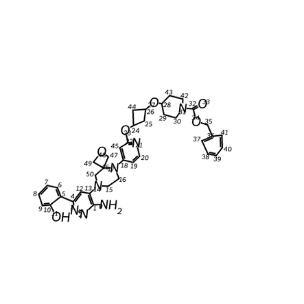 Nc1nnc(-c2ccccc2O)cc1N1CCN(c2ccnc(OC3CC(OC4CCN(C(=O)OCc5ccccc5)CC4)C3)c2)C2(COC2)C1